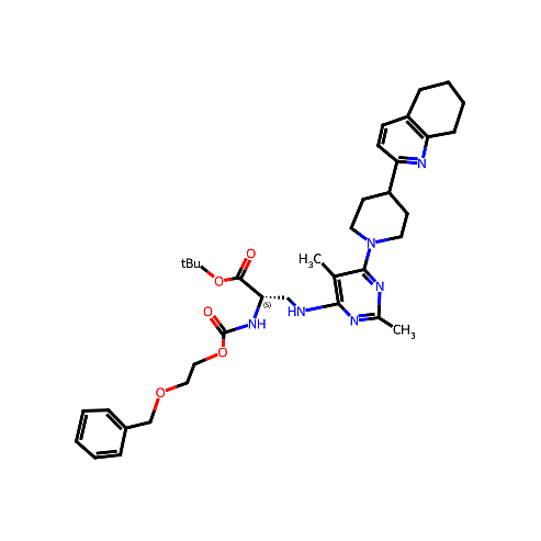 Cc1nc(NC[C@H](NC(=O)OCCOCc2ccccc2)C(=O)OC(C)(C)C)c(C)c(N2CCC(c3ccc4c(n3)CCCC4)CC2)n1